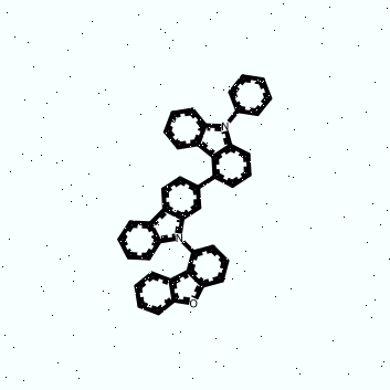 c1ccc(-n2c3ccccc3c3c(-c4ccc5c6ccccc6n(-c6cccc7oc8ccccc8c67)c5c4)cccc32)cc1